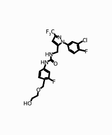 O=C(NCc1cc(C(F)(F)F)nn1-c1ccc(F)c(Cl)c1)Nc1ccc(COCCO)c(F)c1